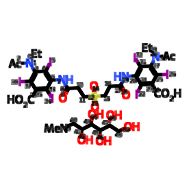 CCN(C(C)=O)c1c(I)c(NC(=O)CCS(=O)(=O)CCC(=O)Nc2c(I)c(C(=O)O)c(I)c(N(CC)C(C)=O)c2I)c(I)c(C(=O)O)c1I.CNC[C@H](O)[C@@H](O)[C@H](O)[C@H](O)CO